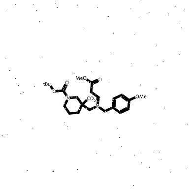 CCOC(=O)C1(CN(CCC(=O)OC)Cc2ccc(OC)cc2)CCCN(C(=O)OC(C)(C)C)C1